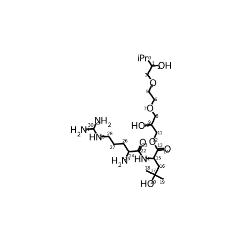 CC(C)C(O)COCCOCC(O)COC(=O)C(CC(C)(C)O)NC(=O)C(N)CCCNC(N)N